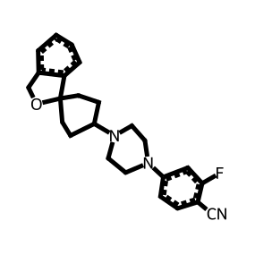 N#Cc1ccc(N2CCN(C3CCC4(CC3)OCc3ccccc34)CC2)cc1F